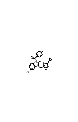 COc1ccc2c(c1)c(Cc1nc(C3CC3)no1)c(C)n2C(=O)c1ccc(Cl)cc1